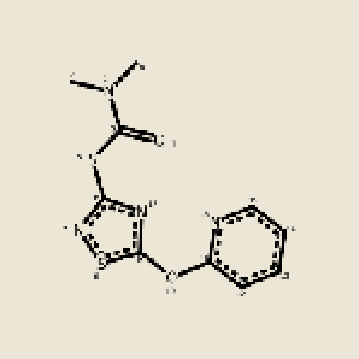 CN(C)C(=O)Sc1nsc(Oc2ccccn2)n1